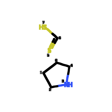 C1CCNC1.S=CS